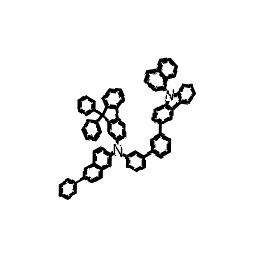 c1ccc(-c2ccc3cc(N(c4cccc(-c5cccc(-c6ccc7c(c6)c6ccccc6n7-c6cccc7ccccc67)c5)c4)c4ccc5c(c4)C(c4ccccc4)(c4ccccc4)c4ccccc4-5)ccc3c2)cc1